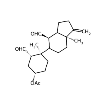 C=C1CCC2[C@H](C=O)C([C@@]3(C)CC[C@H](OC(C)=O)C[C@@H]3C=O)CC[C@]12C